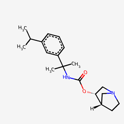 CC(C)c1cccc(C(C)(C)NC(=O)O[C@@H]2CN3CC[C@H]2C3)c1